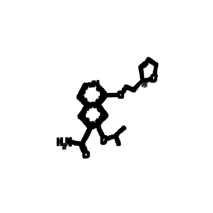 CC(C)Oc1cc2c(OCC[C@H]3CCCO3)nccc2cc1C(N)=O